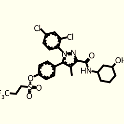 Cc1c(C(=O)NC2CCCC(O)C2)nn(-c2ccc(Cl)cc2Cl)c1-c1ccc(OS(=O)(=O)CCC(F)(F)F)cc1